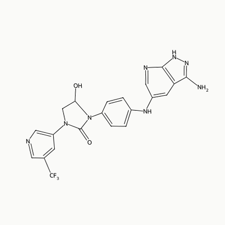 Nc1n[nH]c2ncc(Nc3ccc(N4C(=O)N(c5cncc(C(F)(F)F)c5)CC4O)cc3)cc12